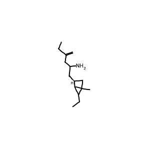 C=C(CC)CC(N)C[C@H]1CC2(C)C(CC)C12